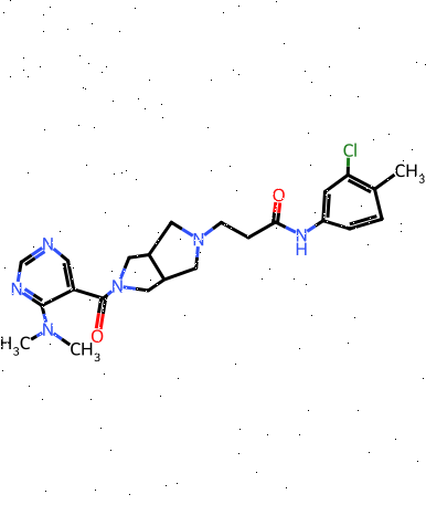 Cc1ccc(NC(=O)CCN2CC3CN(C(=O)c4cncnc4N(C)C)CC3C2)cc1Cl